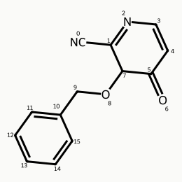 N#CC1=NC=CC(=O)C1OCc1ccccc1